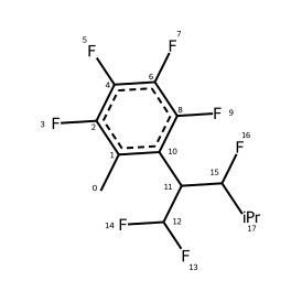 Cc1c(F)c(F)c(F)c(F)c1C(C(F)F)C(F)C(C)C